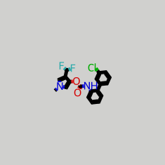 Cn1cc(OC(=O)Nc2ccccc2-c2cccc(Cl)c2)c(C(F)F)c1